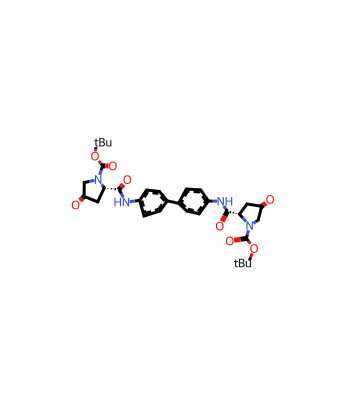 CC(C)(C)OC(=O)N1CC(=O)C[C@H]1C(=O)Nc1ccc(-c2ccc(NC(=O)[C@@H]3CC(=O)CN3C(=O)OC(C)(C)C)cc2)cc1